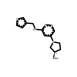 CN[C@@H]1CCN(c2cnnc(NCc3ccoc3)c2)C1